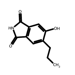 CCCc1cc2c(cc1O)C(=O)NC2=O